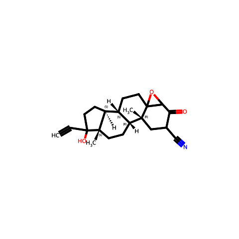 C#CC1(O)CC[C@H]2[C@@H]3CCC45OC4C(=O)C(C#N)C[C@]5(C)[C@@H]3CC[C@@]21C